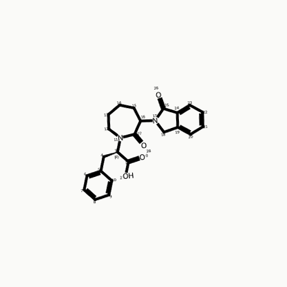 O=C(O)[C@@H](Cc1ccccc1)N1CCCCC(N2Cc3ccccc3C2=O)C1=O